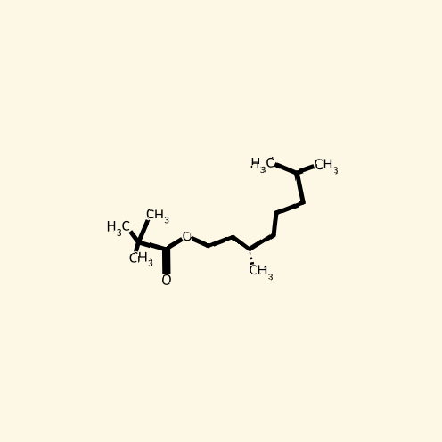 CC(C)CCC[C@H](C)CCOC(=O)C(C)(C)C